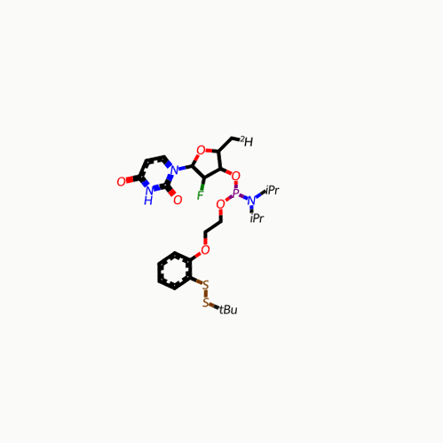 [2H]CC1OC(n2ccc(=O)[nH]c2=O)C(F)C1OP(OCCOc1ccccc1SSC(C)(C)C)N(C(C)C)C(C)C